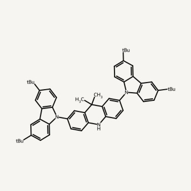 CC(C)(C)c1ccc2c(c1)c1cc(C(C)(C)C)ccc1n2-c1ccc2c(c1)C(C)(C)c1cc(-n3c4ccc(C(C)(C)C)cc4c4cc(C(C)(C)C)ccc43)ccc1N2